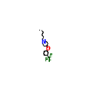 [CH2]CCCCN1CCC(Oc2cccc(C(F)(F)F)c2)CC1